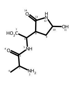 CC(N)C(=O)NC(C(=O)O)C1CC(O)NC1=O